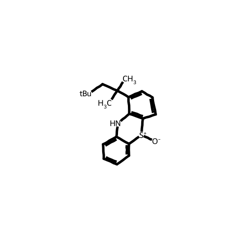 CC(C)(C)CC(C)(C)c1cccc2c1Nc1ccccc1[S+]2[O-]